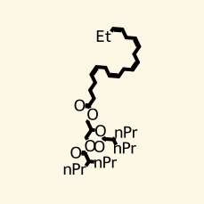 CC/C=C\C/C=C\C/C=C\C/C=C\C/C=C\CCCC(=O)OCC(COC(=O)C(CCC)CCC)OC(=O)C(CCC)CCC